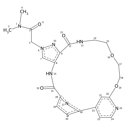 CN(C)C(=O)Cn1cc2c(n1)C(=O)NCCOCCOc1cc(ccn1)-c1nc(cs1)C(=O)N2